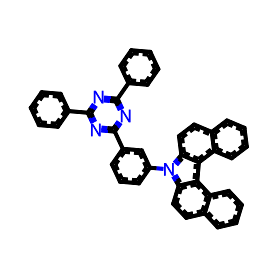 c1ccc(-c2nc(-c3ccccc3)nc(-c3cccc(-n4c5ccc6ccccc6c5c5c6ccccc6ccc54)c3)n2)cc1